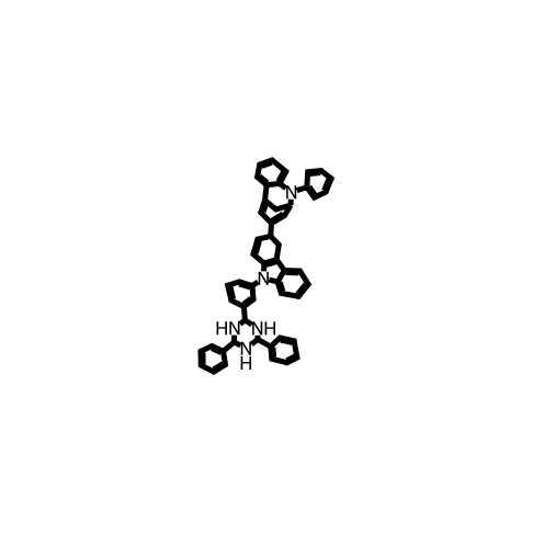 C1=CC(C2=CC3CC(=C2)c2ccccc2N3c2ccccc2)Cc2c1n(-c1cccc(C3NC(c4ccccc4)NC(c4ccccc4)N3)c1)c1ccccc21